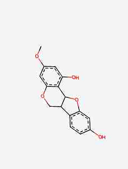 COc1cc(O)c2c(c1)OCC1c3ccc(O)cc3OC21